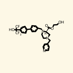 O=C(OCCO)[C@H]1CN(Cc2ccncc2)CCN1Cc1ccc(-c2ccc(C(O)(C(F)(F)F)C(F)(F)F)cc2)cc1